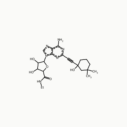 CCNC(=O)C1OC(n2cnc3c(N)nc(C#CC4(O)CCCC(C)(C)C4)nc32)C(O)C1O